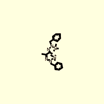 CC(=NN(Cc1ccccc1)[Si](C)(C)C)C(C)=NN(Cc1ccccc1)[Si](C)(C)C